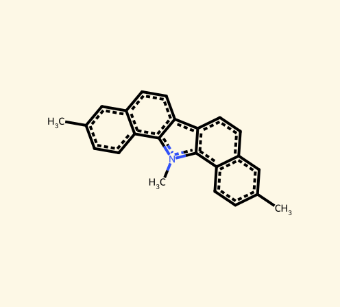 Cc1ccc2c(ccc3c4ccc5cc(C)ccc5c4n(C)c23)c1